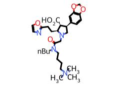 CCCCN(CCCC[N+](C)(C)C)C(=O)CN1C[C@H](c2ccc3c(c2)OCO3)[C@@H](C(=O)O)[C@@H]1CCc1ncco1